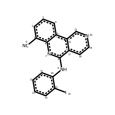 N#Cc1cccc2c1nc(Nc1ccccc1I)c1ccncc12